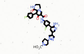 Nc1ncc(-c2cnn(C3CCN(C(=O)O)CC3)c2)cc1-c1ccc(NC(=O)c2cn3c(c(-c4ccc(F)cc4)c2=O)C(=O)NCCC3)cc1F